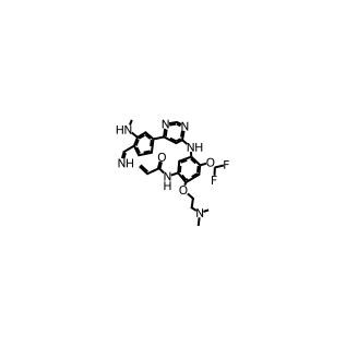 C=CC(=O)Nc1cc(Nc2cc(-c3ccc(C=N)c(NC)c3)ncn2)c(OC(F)F)cc1OCCN(C)C